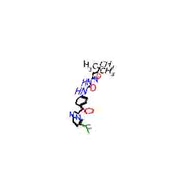 CC(C)(C)c1cc(NC(=O)Nc2ccc(C(=O)c3cnc4ccc(F)cn34)cc2)no1